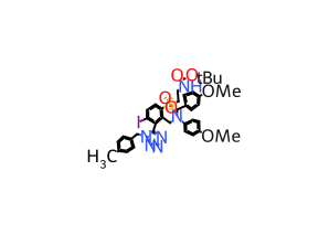 COc1ccc(CN(Cc2c(S(=O)(=O)CCNC(=O)OC(C)(C)C)ccc(I)c2-c2nnnn2Cc2ccc(C)cc2)c2ccc(OC)cc2)cc1